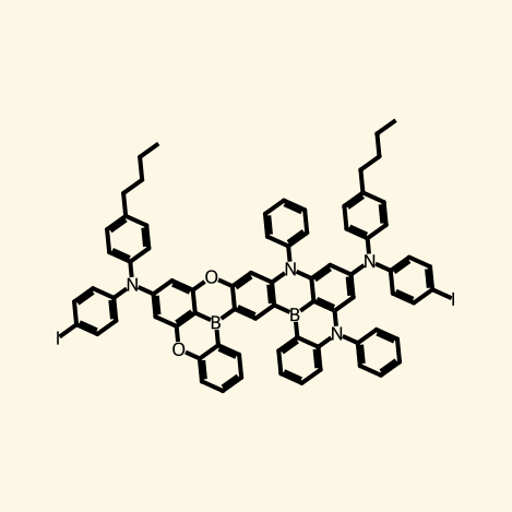 CCCCc1ccc(N(c2ccc(I)cc2)c2cc3c4c(c2)Oc2cc5c(cc2B4c2ccccc2O3)B2c3ccccc3N(c3ccccc3)c3cc(N(c4ccc(I)cc4)c4ccc(CCCC)cc4)cc(c32)N5c2ccccc2)cc1